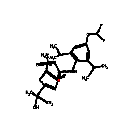 CC(C)c1cc(OC(F)F)cc(C(C)C)c1NC(=O)N=[S@@](N)(=O)c1sc(C(C)(C)O)cc1F